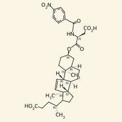 C[C@H](CCC(=O)O)C1CC[C@H]2[C@@H]3CC[C@@H]4C[C@H](OC(=O)[C@H](CC(=O)O)NC(=O)c5ccc([N+](=O)[O-])cc5)CC[C@]4(C)[C@H]3C=C[C@]12C